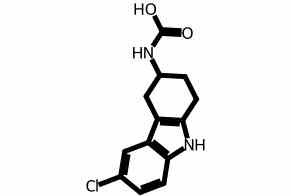 O=C(O)NC1CCc2[nH]c3ccc(Cl)cc3c2C1